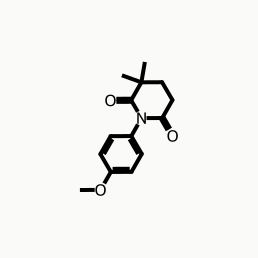 COc1ccc(N2C(=O)CCC(C)(C)C2=O)cc1